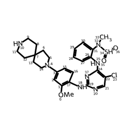 COc1cc(N2CCC3(CCNCC3)CC2)ccc1Nc1ncc(Cl)c(Nc2ccccc2N(C)[SH](=O)=O)n1